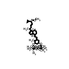 C=C1/C(=C\C=C2/CCC[C@]3(C)C([C@H](C)C/C=C/C(=N\OC)C4CC4)=CC[C@@H]23)C[C@@H](O[Si](C)(C)C(C)(C)C)C[C@@H]1O[Si](C)(C)C(C)(C)C